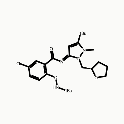 Cn1c(C(C)(C)C)c/c(=N\C(=O)c2cc(Cl)ccc2ONC(C)(C)C)n1C[C@H]1CCCO1